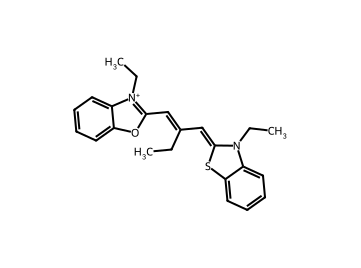 CCC(/C=C1\Sc2ccccc2N1CC)=C\c1oc2ccccc2[n+]1CC